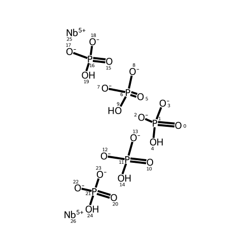 O=P([O-])([O-])O.O=P([O-])([O-])O.O=P([O-])([O-])O.O=P([O-])([O-])O.O=P([O-])([O-])O.[Nb+5].[Nb+5]